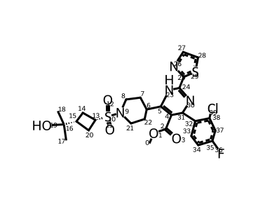 COC(=O)C1=C(C2CCN(S(=O)(=O)[C@H]3C[C@@H](C(C)(C)O)C3)CC2)NC(c2nccs2)=NC1c1ccc(F)cc1Cl